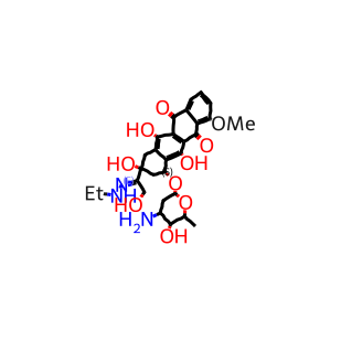 CCN/N=C(\CO)C1(O)Cc2c(O)c3c(c(O)c2[C@@H](OC2CC(N)C(O)C(C)O2)C1)C(=O)c1c(OC)cccc1C3=O